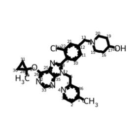 Cc1ccnc(Cn2c(-c3ccc(CN4CCC(O)CC4)cc3Cl)nc3c(OC4(C)CC4)ncnc32)c1